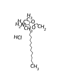 C=CC(=O)OC(C)C(CCCCCCCCCCCCCCCC)C(C)(C)N.Cl